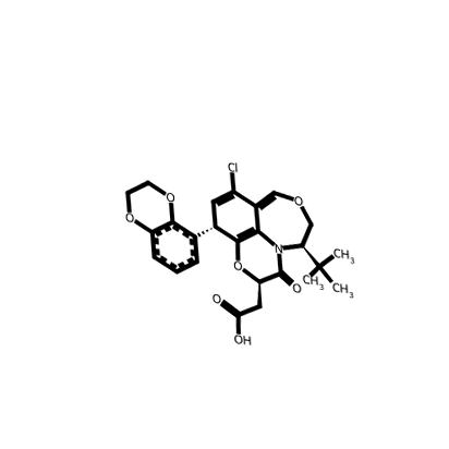 CC(C)(C)[C@@H]1COC=C2C(Cl)=C[C@@H](c3cccc4c3OCCO4)C3=C2N1C(=O)[C@@H](CC(=O)O)O3